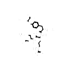 C=CC[C@@H](NC(=O)[C@@H](CCCNC(=N)N)NC(=O)[C@H](Cc1ccc(O[C@H](C)C=C)cc1)NC(C)=O)C(=O)OC